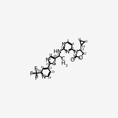 C[C@H](Nc1nccc(N2C(=O)OC[C@@H]2C2CC2)n1)c1cnc(-c2ccnc(C(F)(F)F)c2)s1